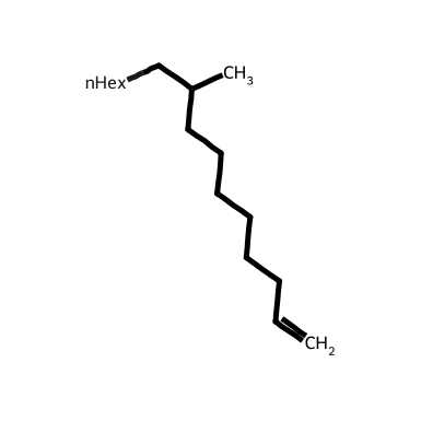 C=CCCCCCCC(C)CCCCCCC